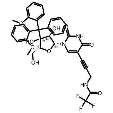 COc1ccccc1C(c1ccccc1)(c1ccccc1OC)[C@@]1(O)[C@@H](CO)O[C@@H](n2cc(C#CCNC(=O)C(F)(F)F)c(=O)[nH]c2=O)[C@@H]1O